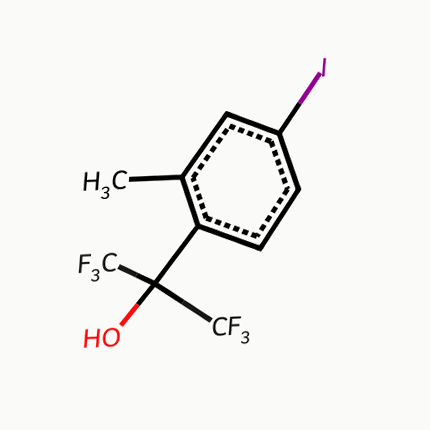 Cc1cc(I)ccc1C(O)(C(F)(F)F)C(F)(F)F